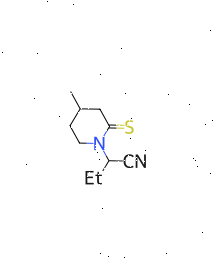 CCC(C#N)N1CCC(C)CC1=S